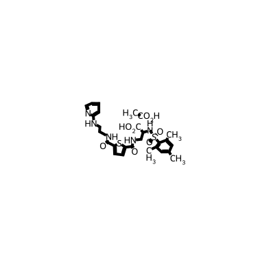 CC(=O)O.Cc1cc(C)c(S(=O)(=O)NC(CNC(=O)c2ccc(C(=O)NCCNc3ccccn3)s2)C(=O)O)c(C)c1